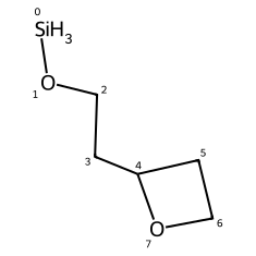 [SiH3]OCCC1CCO1